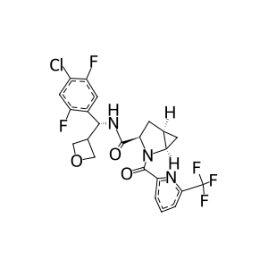 O=C(N[C@@H](c1cc(F)c(Cl)cc1F)C1COC1)[C@H]1C[C@H]2C[C@H]2N1C(=O)c1cccc(C(F)(F)F)n1